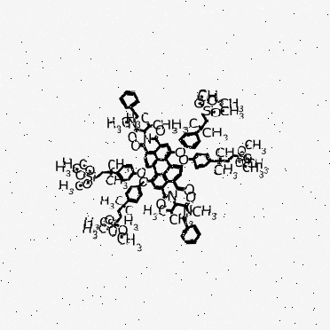 CO[Si](CCC(C)(C)c1ccc(Oc2cc3c4c(cc(Oc5ccc(C(C)(C)CC[Si](OC)(OC)OC)cc5)c5c6c(Oc7ccc(C(C)(C)CC[Si](OC)(OC)OC)cc7)cc7c8c(cc(Oc9ccc(C(C)(C)CC[Si](OC)(OC)OC)cc9)c(c2c45)c86)C(=O)N(C(C(=O)N(C)Cc2ccccc2)C(C)C)C7=O)C(=O)N(C(C(=O)N(C)Cc2ccccc2)C(C)C)C3=O)cc1)(OC)OC